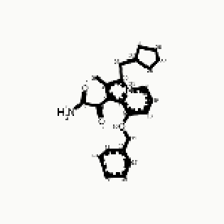 Cc1c(C(=O)C(N)=O)c2c(OCc3ccccc3)cccn2c1CC1CCCC1